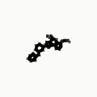 COc1cccc2c1nc(N)n1nc([C@@H]3CCCN(Cc4cccnc4)C3)nc21